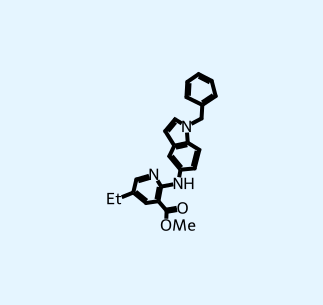 CCc1cnc(Nc2ccc3c(ccn3Cc3ccccc3)c2)c(C(=O)OC)c1